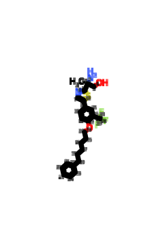 C[C@](N)(CO)c1ncc(-c2ccc(OCCCCCCc3ccccc3)c(C(F)(F)F)c2)s1